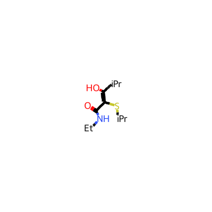 CCNC(=O)/C(SC(C)C)=C(\O)C(C)C